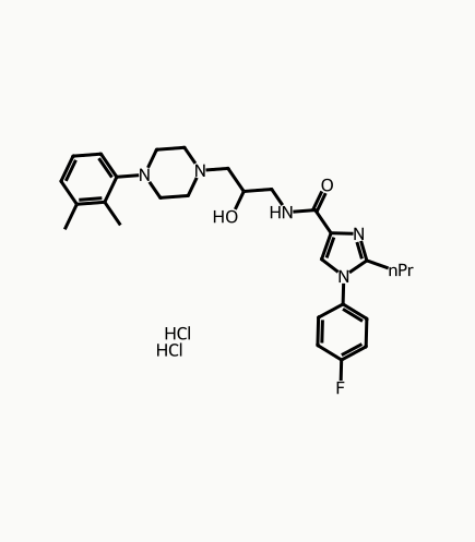 CCCc1nc(C(=O)NCC(O)CN2CCN(c3cccc(C)c3C)CC2)cn1-c1ccc(F)cc1.Cl.Cl